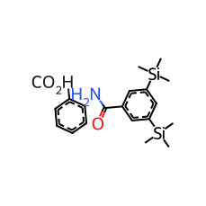 C[Si](C)(C)c1cc(C(N)=O)cc([Si](C)(C)C)c1.O=C(O)c1ccccc1